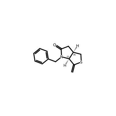 C=C1SC[C@@H]2CC(=O)N(Cc3ccccc3)[C@H]12